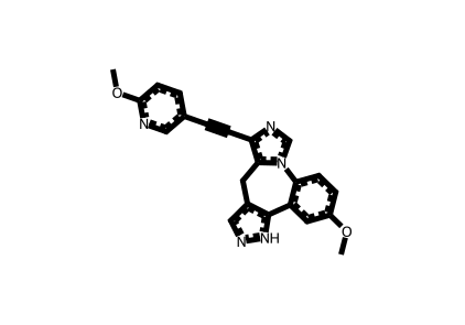 COc1ccc2c(c1)-c1[nH]ncc1Cc1c(C#Cc3ccc(OC)nc3)ncn1-2